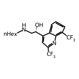 CCCCCCNC[C@H](O)c1cc(C(F)(F)F)nc2c(C(F)(F)F)cccc12